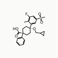 Cc1c(F)cc(S(C)(=O)=O)cc1[C@]1(OCC2CC2)CC[C@@](C(=O)O)(c2ccccc2)CC1